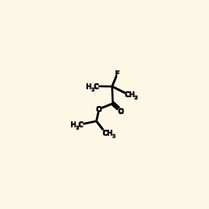 CC(C)OC(=O)C(C)(C)F